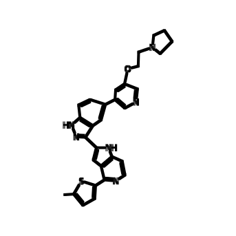 Cc1ccc(-c2nccc3[nH]c(-c4n[nH]c5ccc(-c6cncc(OCCN7CCCC7)c6)cc45)cc23)s1